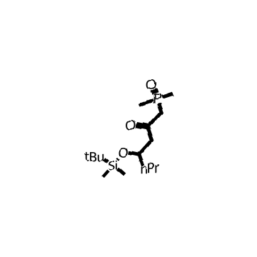 CCCC(CC(=O)CP(C)(C)=O)O[Si](C)(C)C(C)(C)C